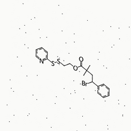 CC(C)(CC(Br)c1ccccc1)C(=O)OCCSSc1ccccn1